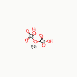 [Fe].[O]=[Cr](=[O])([OH])[O][Cr](=[O])(=[O])[OH]